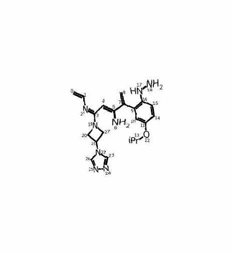 C=C/N=C(\C=C(/N)C(=C)c1cc(OC(C)C)ccc1NN)N1CC(n2cnnc2)C1